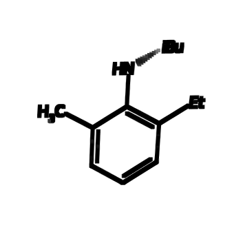 CCc1cccc(C)c1N[C@@H](C)CC